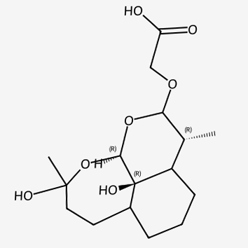 C[C@H]1C(OCC(=O)O)O[C@@H]2OC(C)(O)CCC3CCCC1[C@]32O